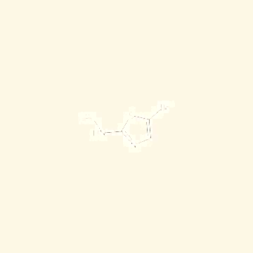 CC(C)Nc1ncc(Br)s1